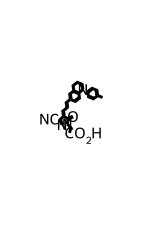 Cc1ccc(N2CCCc3cc(/C=C/C=C4\C(=O)N(CC(=O)O)N=C4C#N)ccc32)cc1